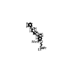 [CH2]CN(CCCOc1cc2ncnc(Nc3cc(CC(=O)Nc4cccc(F)c4F)[nH]n3)c2cc1OC)C(C)C